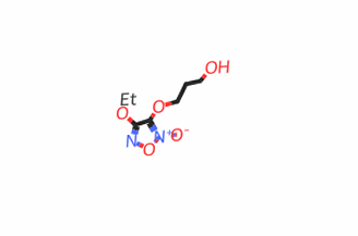 CCOc1no[n+]([O-])c1OCCCO